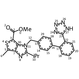 COC(=O)c1sc(C)c2nc(C(C)C)n(Cc3ccc(-c4ccccc4-c4nnn[nH]4)cc3)c12